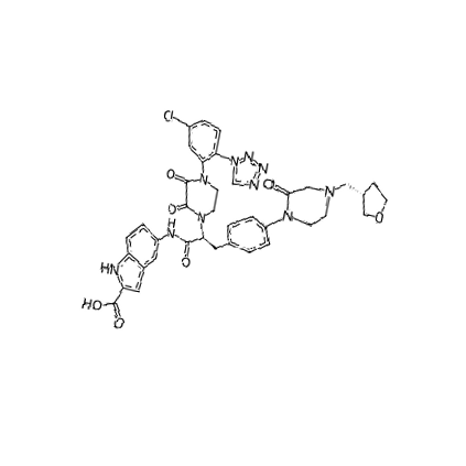 O=C(O)c1cc2cc(NC(=O)[C@H](Cc3ccc(N4CCN(C[C@@H]5CCOC5)CC4=O)cc3)N3CCN(c4cc(Cl)ccc4-n4cnnn4)C(=O)C3=O)ccc2[nH]1